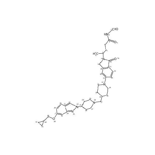 CC(CCC(=O)NC=O)N1Cc2cc(N3CCC(CN4CCC(n5cc6ccc(OCC7CC7)cc6n5)CC4)CC3)ccc2C1=O